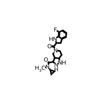 CN(C(=O)C1NNC2CCN(C(=O)C3Cc4cccc(F)c4N3)CC21)C1CC1